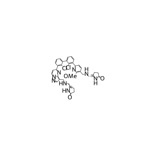 COc1nc(-c2cccc(-c3cccc(-c4ccn5ncc(CNC[C@H]6CCC(=O)N6)c5n4)c3Cl)c2Cl)ccc1CNC[C@@H]1CCC(=O)N1